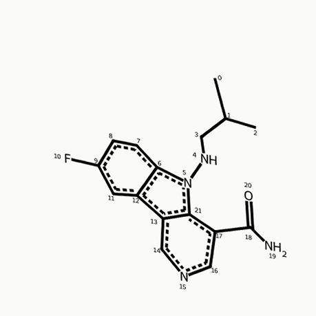 CC(C)CNn1c2ccc(F)cc2c2cncc(C(N)=O)c21